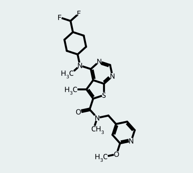 COc1cc(CN(C)C(=O)c2sc3ncnc(N(C)C4CCC(C(F)F)CC4)c3c2C)ccn1